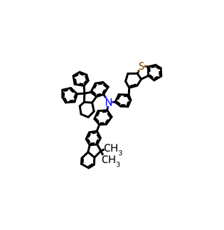 CC1(C)c2cc(-c3ccc(N(c4cccc(C5=CC6c7ccccc7SC6CC5)c4)c4cccc5c4C4CCCCC4C5(c4ccccc4)c4ccccc4)cc3)ccc2C2C=CC=CC21